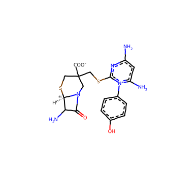 Nc1cc(N)[n+](-c2ccc(O)cc2)c(SCC2(C(=O)[O-])CS[C@@H]3C(N)C(=O)N3C2)n1